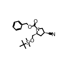 CC(C)(C)[Si](C)(C)OC[C@@H]1C[C@H](C#N)CN1C(=O)OCc1ccccc1